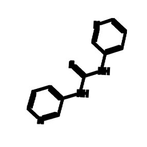 S=C(Nc1cccnc1)Nc1cccnc1